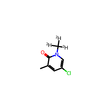 [2H]C([2H])([2H])n1cc(Cl)cc(C)c1=O